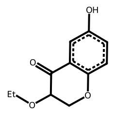 CCOC1COc2ccc(O)cc2C1=O